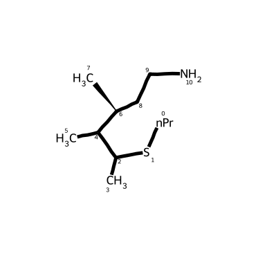 CCCSC(C)C(C)[C@@H](C)CCN